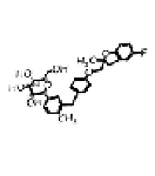 Cc1ccc([C@@H]2O[C@H](CO)[C@@H](O)[C@H](O)[C@H]2O)cc1Cc1ccc(OCC2(C)Cc3cc(F)ccc3O2)cc1